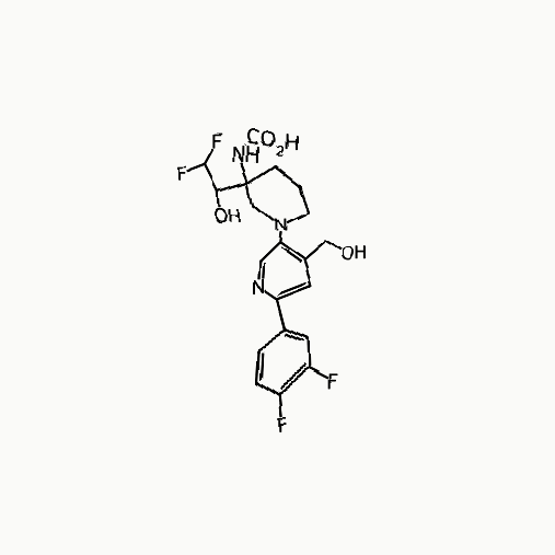 O=C(O)NC1(C(O)C(F)F)CCCN(c2cnc(-c3ccc(F)c(F)c3)cc2CO)C1